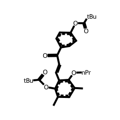 CCCOc1c(C)cc(C)c(OC(=O)C(C)(C)C)c1/C=C/C(=O)c1ccc(OC(=O)C(C)(C)C)cc1